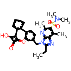 CCc1nc2c(C)c(S(=O)(=O)N(C)C)c(C)nc2n1Cc1ccc(-c2ccccc2-c2c(O)c(=O)c2=O)cc1